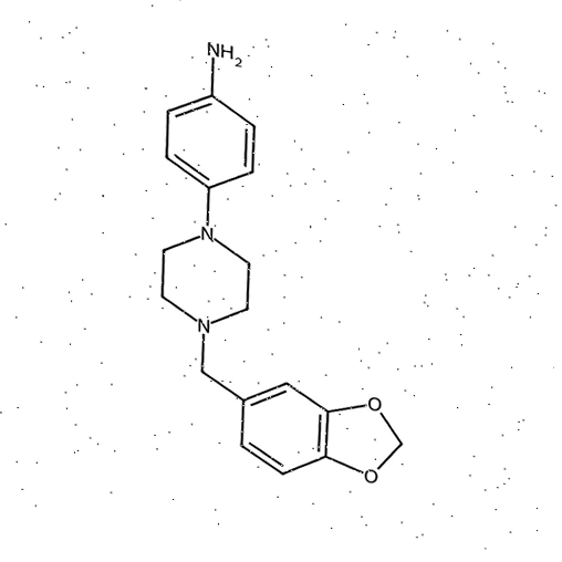 Nc1ccc(N2CCN(Cc3ccc4c(c3)OCO4)CC2)cc1